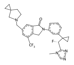 Cn1cnnc1[C@H](F)C1(c2cccc(N3Cc4c(cc(CN5CCC6(CC6)C5)cc4C(F)(F)F)C3=O)c2)CC1